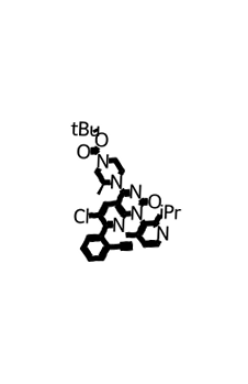 C#Cc1ccccc1-c1nc2c(cc1Cl)c(N1CCN(C(=O)OC(C)(C)C)C[C@@H]1C)nc(=O)n2-c1c(C)ccnc1C(C)C